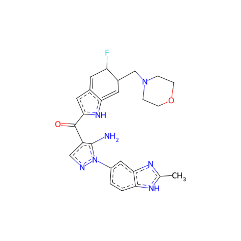 Cc1nc2cc(-n3ncc(C(=O)c4cc5c([nH]4)=CC(CN4CCOCC4)C(F)C=5)c3N)ccc2[nH]1